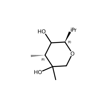 CC(C)[C@H]1OCC(C)(O)[C@H](C)C1O